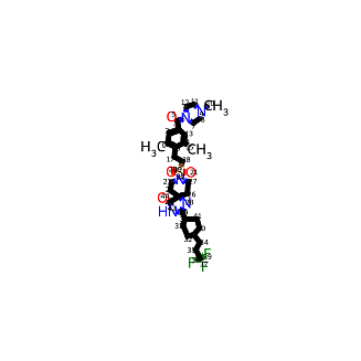 Cc1cc(C(=O)N2CCN(C)CC2)cc(C)c1CCS(=O)(=O)N1CCC2(CC1)N=C(C1CCC(CCC(F)(F)F)CC1)NC2=O